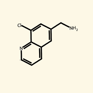 NCc1cc(Cl)c2n[c]ccc2c1